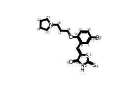 O=C1NC(=S)S/C1=C\c1cc(Br)ccc1OCCCN1CCCC1